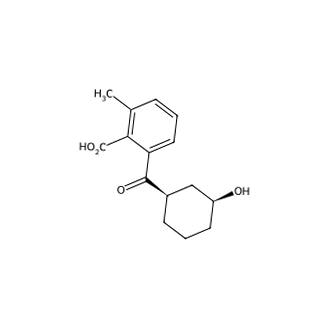 Cc1cccc(C(=O)[C@@H]2CCC[C@H](O)C2)c1C(=O)O